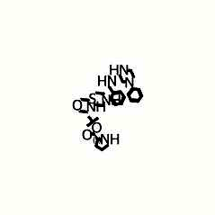 C1COCCN1.C1CSCCN1.CC(C)(C)OC(=O)[C@@H]1CCCN1.CNCc1ccccc1.c1ccc(N2CCNCC2)cc1